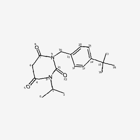 CC(C)N1C(=O)CC(=O)N(Cc2ccc(C(C)(C)C)cc2)C1=O